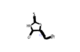 CC(C)/C=C1\SC(=S)NC1=O